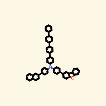 c1ccc(-c2ccc(-c3ccc(-c4ccc(N(c5ccc(-c6ccc7ccccc7c6)cc5)c5ccc(-c6ccc7oc8ccccc8c7c6)cc5)cc4)cc3)cc2)cc1